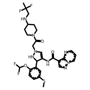 CSc1ccc(OC(F)F)c(C2NN(CC(=O)N3CCC(NCC(C)(F)F)CC3)C=C2NC(=O)c2cnn3cccnc23)c1